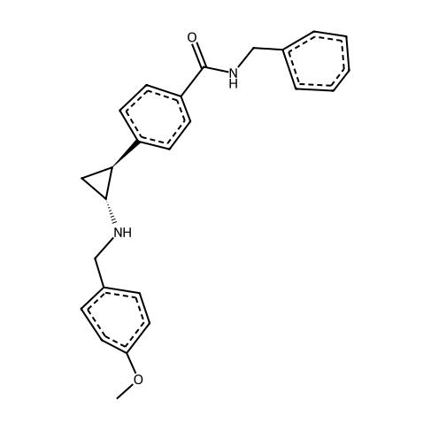 COc1ccc(CN[C@@H]2C[C@H]2c2ccc(C(=O)NCc3ccccc3)cc2)cc1